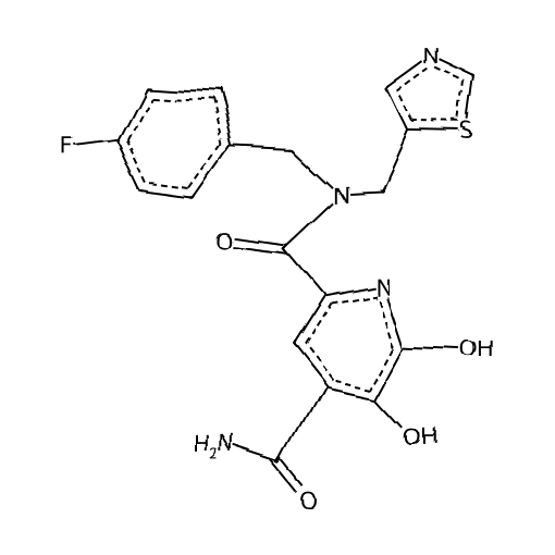 NC(=O)c1cc(C(=O)N(Cc2ccc(F)cc2)Cc2cncs2)nc(O)c1O